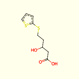 O=C(O)CC(O)CCSc1cccs1